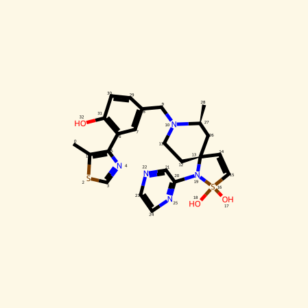 Cc1scnc1-c1cc(CN2CC[C@]3(C=CS(O)(O)N3c3cnccn3)C[C@@H]2C)ccc1O